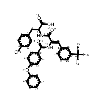 O=C(NC(Cc1ccc(Cl)cc1)C(=O)O)C(=Cc1cccc(C(F)(F)F)c1)NC(=O)c1ccc(Oc2ccccc2)cc1